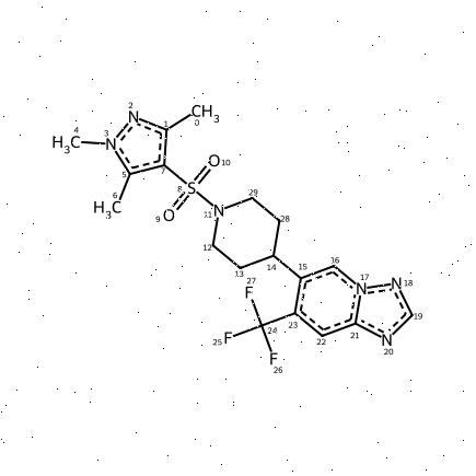 Cc1nn(C)c(C)c1S(=O)(=O)N1CCC(c2cn3ncnc3cc2C(F)(F)F)CC1